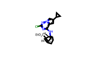 CCOC(=O)[C@@H]1C2CCC(CC2)[C@H]1Nc1nc(Cl)nn2cc(C3CC3)cc12